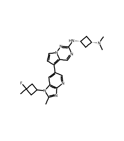 Cc1nc2ncc(-c3ccn4nc(N[C@H]5C[C@@H](N(C)C)C5)ncc34)cc2n1C1CC(C)(F)C1